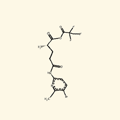 Cc1nc(NC(=O)CC[C@H](N)C(=O)OC(=O)C(F)(F)F)ccc1Br